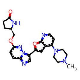 CN1CCN(c2ccnc3oc(-c4cnc5ccc(OC[C@H]6CCC(=O)N6)nn45)cc23)CC1